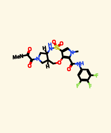 CNC(=O)C(=O)N1C[C@H]2COc3c(cn(C)c3C(=O)Nc3cc(F)c(F)c(F)c3)S(=O)(=O)N[C@H]2C1